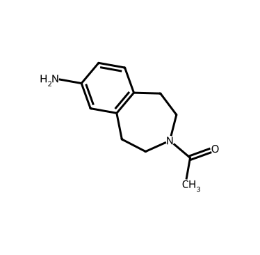 CC(=O)N1CCc2ccc(N)cc2CC1